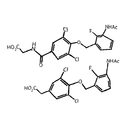 CC(=O)Nc1cccc(COc2c(Cl)cc(C(=O)NCC(=O)O)cc2Cl)c1F.CC(=O)Nc1cccc(COc2c(Cl)cc(CC(=O)O)cc2Cl)c1F